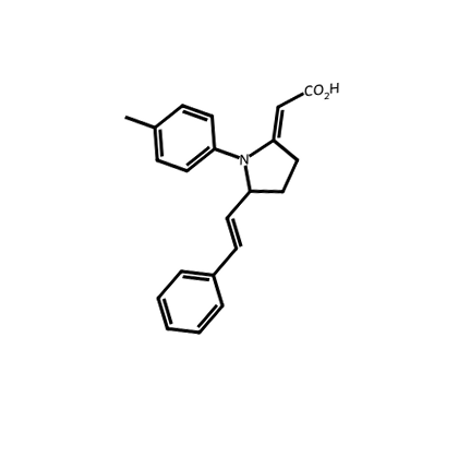 Cc1ccc(N2C(=CC(=O)O)CCC2/C=C/c2ccccc2)cc1